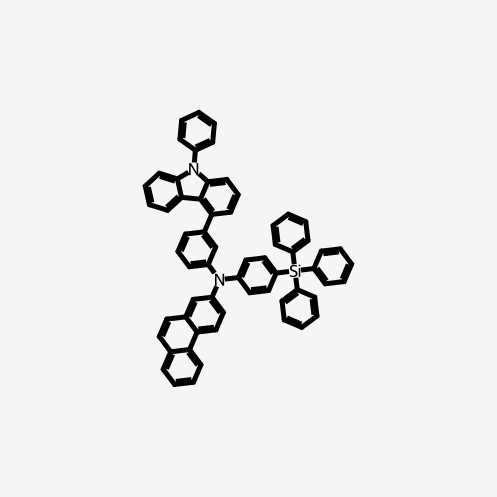 c1ccc(-n2c3ccccc3c3c(-c4cccc(N(c5ccc([Si](c6ccccc6)(c6ccccc6)c6ccccc6)cc5)c5ccc6c(ccc7ccccc76)c5)c4)cccc32)cc1